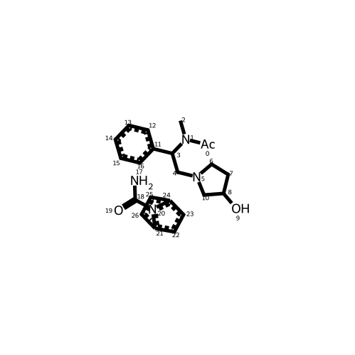 CC(=O)N(C)C(CN1CCC(O)C1)c1ccccc1.NC(=O)n1c2ccc1cc2